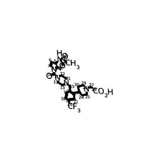 CS(=O)(=O)Nc1ccn(C(=O)N2CCN(Cc3ccc(C(F)(F)F)cc3C3CCN(CC(=O)O)CC3)CC2)n1